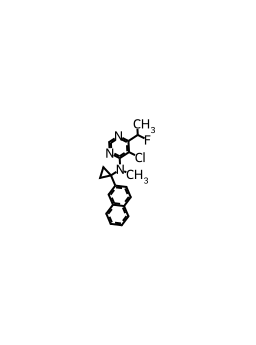 CC(F)c1ncnc(N(C)C2(c3ccc4ccccc4c3)CC2)c1Cl